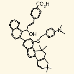 CN(C)c1ccc(CSc2cc(-c3ccc4ccccc4c3C(O)C=Cc3ccc(C(=O)O)cc3)cc3ccc4c(c23)C(C)(C)CC2=C4C=CC(C)(C)C2)cc1